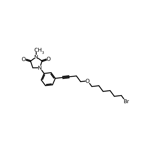 CN1C(=O)CN(c2cccc(C#CCCOCCCCCCBr)c2)C1=O